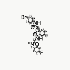 CN(Cc1ccc(F)cc1)C(=O)CNC(=O)c1cc(F)ccc1OCC(=O)Nc1ccc(Br)cc1